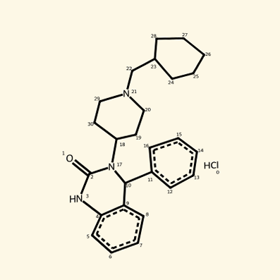 Cl.O=C1Nc2ccccc2C(c2ccccc2)N1C1CCN(CC2CCCCC2)CC1